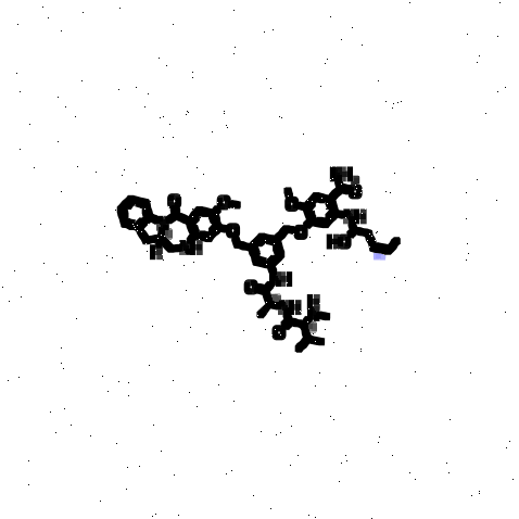 C/C=C\CC(O)Nc1cc(OCc2cc(COc3cc4c(cc3OC)C(=O)N3c5ccccc5C[C@H]3CN4)cc(NC(=O)[C@H](C)NC(=O)[C@@H](NC)C(C)C)c2)c(OC)cc1C(N)=O